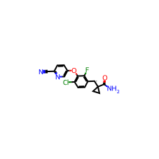 N#Cc1ccc(Oc2c(Cl)ccc([CH]C3(C(N)=O)CC3)c2F)cn1